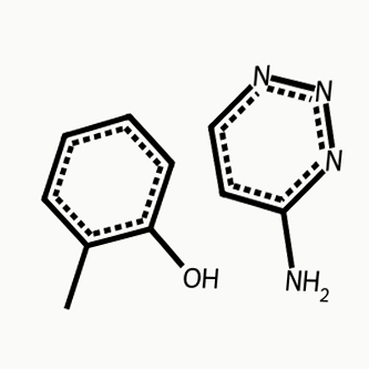 Cc1ccccc1O.Nc1ccnnn1